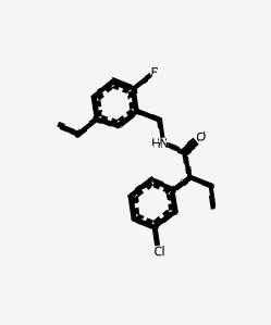 CCc1ccc(F)c(CNC(=O)C(CC)c2cccc(Cl)c2)c1